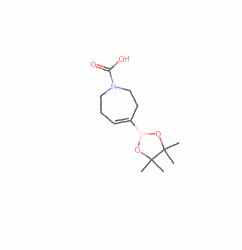 CC1(C)OB(C2=CCCN(C(=O)O)CC2)OC1(C)C